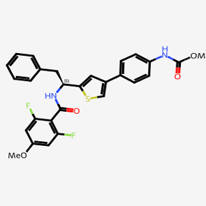 COC(=O)Nc1ccc(-c2csc([C@H](Cc3ccccc3)NC(=O)c3c(F)cc(OC)cc3F)c2)cc1